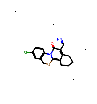 N=Cc1c2c(c3n(c1=O)-c1ccc(Cl)cc1CS3)CCCC2